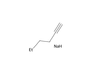 C#CCCCC.[NaH]